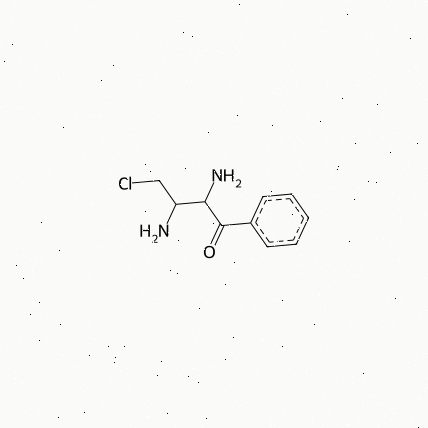 NC(CCl)C(N)C(=O)c1ccccc1